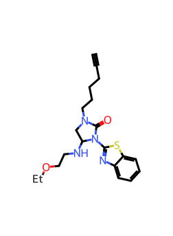 C#CCCCCN1CC(NCCOCC)N(c2nc3ccccc3s2)C1=O